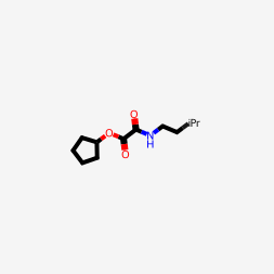 CC(C)CCNC(=O)C(=O)OC1CCCC1